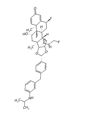 CC(C)Nc1cccc(Cc2ccc([C@H]3O[C@@H]4C[C@H]5[C@@H]6C[C@H](F)C7=CC(=O)C=C[C@]7(C)[C@@]6(F)[C@@H](O)C[C@]5(C)[C@]4(C(=O)SCF)O3)cc2)c1